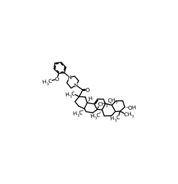 COc1ccccc1N1CCN(C(=O)C2(C)CC[C@]3(C)CC[C@]4(C)C(=CCC5[C@@]6(C)CC[C@H](O)C(C)(C)C6CC[C@]54C)[C@@H]3C2)CC1